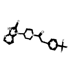 O=C(Cc1ccc(C(F)(F)F)cc1)N1CCC(n2c(=O)[nH]c3ncccc32)CC1